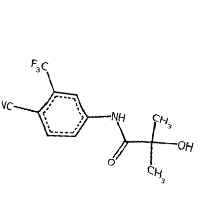 CC(C)(O)C(=O)Nc1ccc(C#N)c(C(F)(F)F)c1